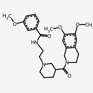 COc1cccc(C(=O)NCCN2CCCC(C(=O)N3CCc4cc(OC)c(OC)cc4C3)C2)c1